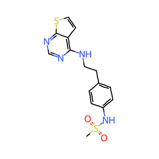 CS(=O)(=O)Nc1ccc(CCNc2ncnc3sccc23)cc1